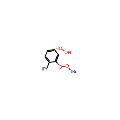 CC(C)c1ccccc1OOC(C)(C)C.OO